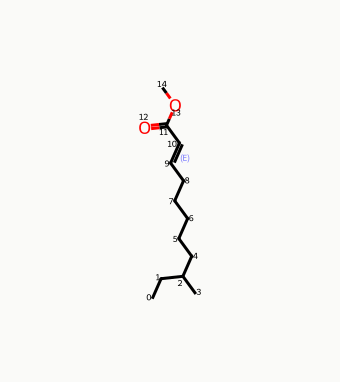 CCC(C)CCCCC/C=C/C(=O)OC